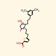 Cc1cc(C)cc(CCCC2[C@@H](CCCc3ccc(C(=O)O)s3)C(I)C[C@H]2O)c1